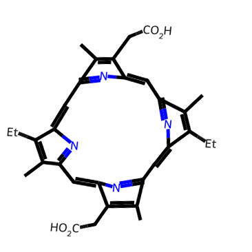 CCC1=C(C)C2=NC1=CC1=NC(=CC3=NC(=CC4=NC(=C2)C(CC(=O)O)=C4C)C(CC)=C3C)C(CC(=O)O)=C1C